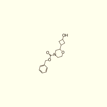 O=C(OCc1ccccc1)N1CCOC(C2CC(O)C2)C1